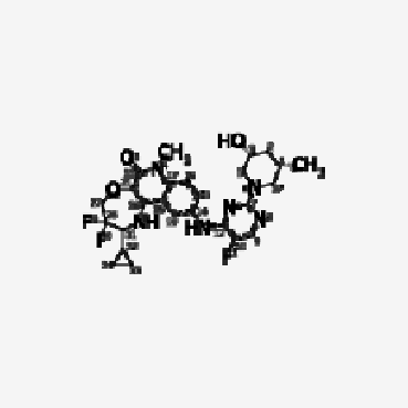 C[C@H]1C[C@@H](O)CN(c2ncc(F)c(Nc3ccc4c(c3)c3c(c(=O)n4C)OCC(F)(F)C(C4CC4)N3)n2)C1